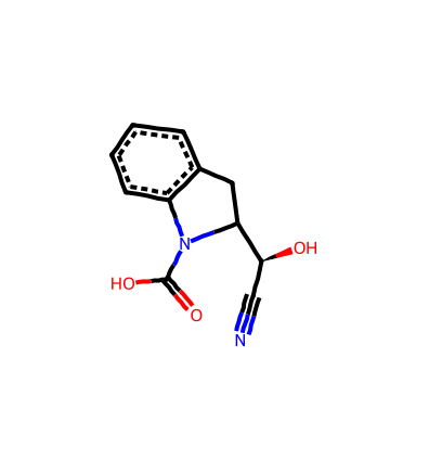 N#C[C@H](O)C1Cc2ccccc2N1C(=O)O